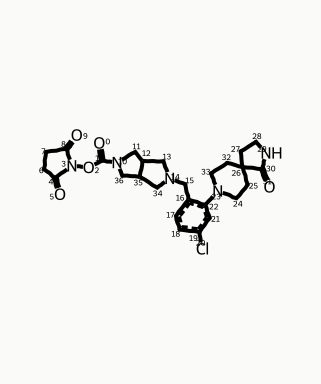 O=C(ON1C(=O)CCC1=O)N1CC2CN(Cc3ccc(Cl)cc3N3CCC4(CCNC4=O)CC3)CC2C1